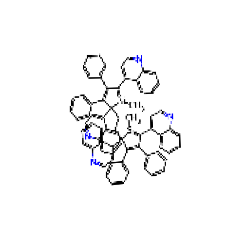 C[Si]1=C(c2ccnc3ccccc23)C(c2ccccc2)=C(c2ccccc2)C1(CCC1(c2ccnc3ccccc23)C(c2ccccc2)=C(c2ccccc2)C(c2ccnc3ccccc23)=[Si]1C)c1ccnc2ccccc12